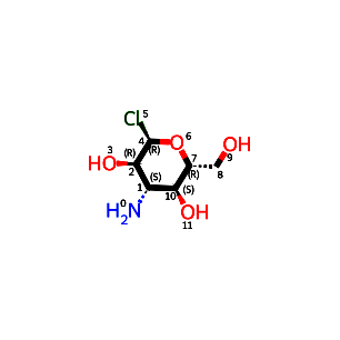 N[C@@H]1[C@@H](O)[C@@H](Cl)O[C@H](CO)[C@H]1O